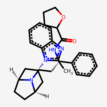 Cc1nc2ccccc2n1[C@@H]1C[C@H]2CC[C@@H](C1)N2CC[C@H](NC(=O)C1CCCO1)c1ccccc1